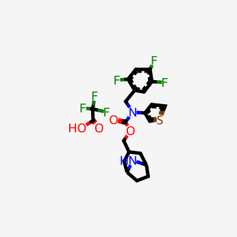 O=C(O)C(F)(F)F.O=C(OCC1CC2CCC(C1)N2)N(Cc1cc(F)c(F)cc1F)c1ccsc1